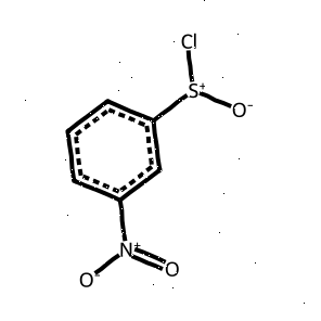 O=[N+]([O-])c1cccc([S+]([O-])Cl)c1